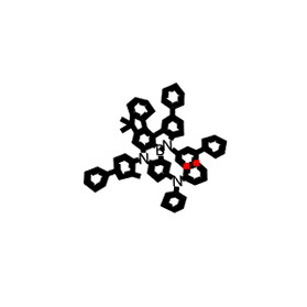 Cc1cc(-c2ccccc2)ccc1N1c2ccc(N(c3ccccc3)c3ccccc3)cc2B2c3c1cc1c(c3-c3cc(-c4ccccc4)ccc3N2c2cccc(-c3ccccc3)c2)-c2ccccc2C1(C)C